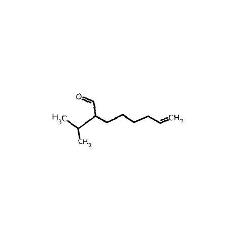 C=CCCCCC(C=O)C(C)C